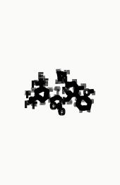 COc1ccccc1-c1c(C)cc(N2CCC2)nc1CN1C(=O)O[C@H](c2cc(C(F)(F)F)cc(C(F)(F)F)c2)[C@@H]1C